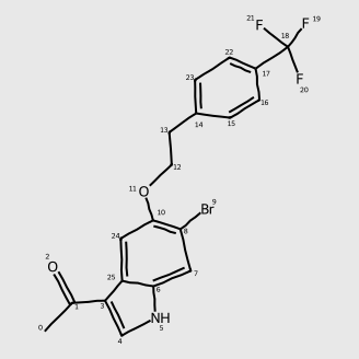 CC(=O)c1c[nH]c2cc(Br)c(OCCc3ccc(C(F)(F)F)cc3)cc12